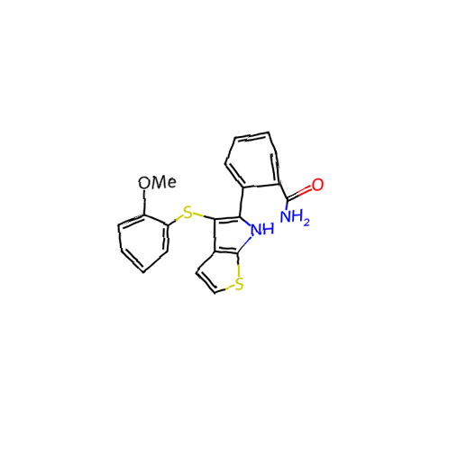 COc1ccccc1Sc1c(-c2ccccc2C(N)=O)[nH]c2sccc12